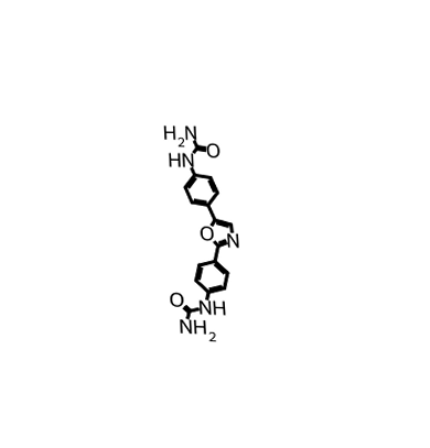 NC(=O)Nc1ccc(-c2cnc(-c3ccc(NC(N)=O)cc3)o2)cc1